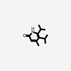 Cc1cc(=O)[nH]c(C(C)C)c1C(C)C